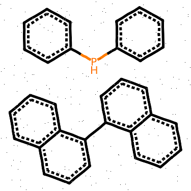 c1ccc(Pc2ccccc2)cc1.c1ccc2c(-c3cccc4ccccc34)cccc2c1